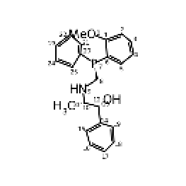 COc1ccccc1[P@@](CN[C@@H](C)[C@H](O)c1ccccc1)c1ccccc1